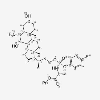 CC(C)OC(=O)[C@H](C)N[P@](=O)(OCC[C@@H](C)[C@H]1CCC2C3C(CC[C@@]21C)[C@@]1(C)CC[C@@H](O)CC1[C@@H](C(F)(F)F)[C@H]3O)Oc1ccc(F)cc1